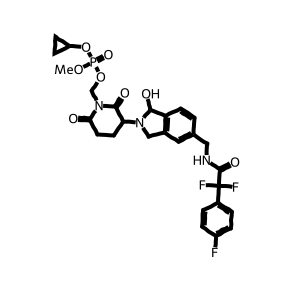 COP(=O)(OCN1C(=O)CCC(N2Cc3cc(CNC(=O)C(F)(F)c4ccc(F)cc4)ccc3C2O)C1=O)OC1CC1